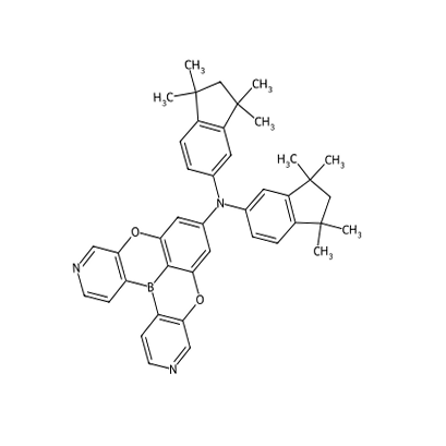 CC1(C)CC(C)(C)c2cc(N(c3cc4c5c(c3)Oc3cnccc3B5c3ccncc3O4)c3ccc4c(c3)C(C)(C)CC4(C)C)ccc21